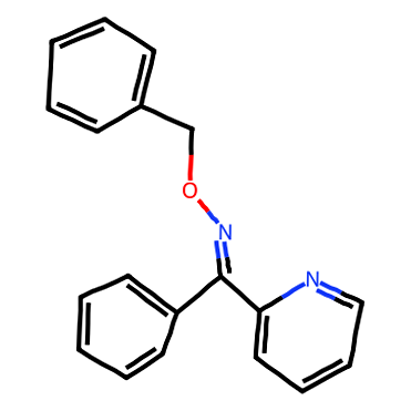 c1ccc(CO/N=C(\c2ccccc2)c2ccccn2)cc1